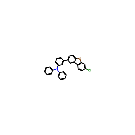 Clc1ccc2c(c1)sc1ccc(-c3cccc(N(c4ccccc4)c4ccccc4)c3)cc12